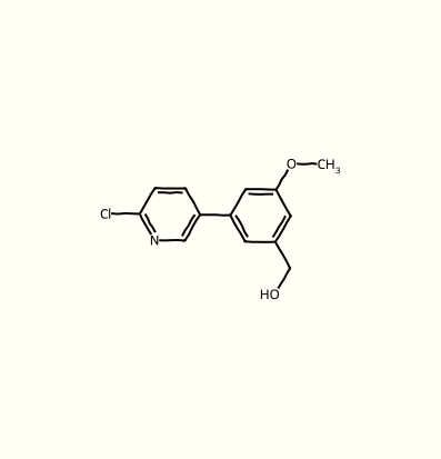 COc1cc(CO)cc(-c2ccc(Cl)nc2)c1